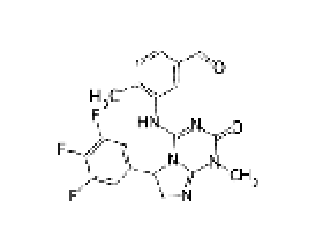 Cc1ccc(C=O)cc1NC1=NC(=O)N(C)C2=NCC(c3cc(F)c(F)c(F)c3)N12